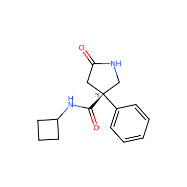 O=C1C[C@@](C(=O)NC2CCC2)(c2ccccc2)CN1